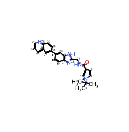 CC(C)(C)n1ccc(C(=O)NCc2nc3ccc(-c4ccc5ncccc5c4)cc3[nH]2)c1